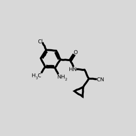 Cc1cc(Cl)cc(C(=O)NCC(C#N)C2CC2)c1N